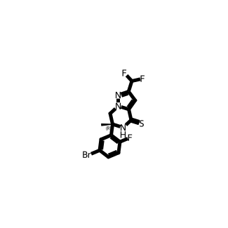 C[C@@]1(c2cc(Br)ccc2F)Cn2nc(C(F)F)cc2C(=S)N1